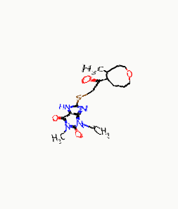 CC1CCOCCCC1C(=O)CSc1nc2c([nH]1)c(=O)n(C)c(=O)n2C